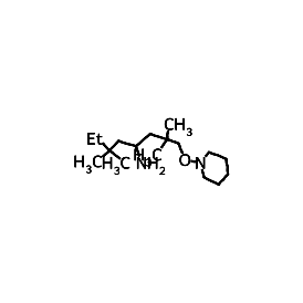 CCC(C)(C)CC(N)CC(C)(C)CON1CCCCC1